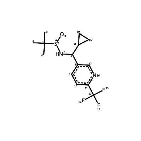 CC(C)(C)[S+]([O-])NC(c1ccc(C(F)(F)F)nc1)C1CC1